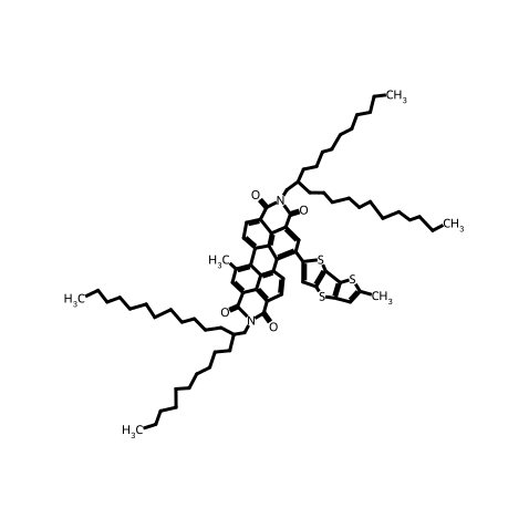 CCCCCCCCCCCCC(CCCCCCCCCC)CN1C(=O)c2ccc3c4c(-c5cc6sc7cc(C)sc7c6s5)cc5c6c(ccc(c7c(C)cc(c2c37)C1=O)c64)C(=O)N(CC(CCCCCCCCCC)CCCCCCCCCCCC)C5=O